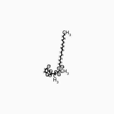 CCCCCCCCC=CCCCCCCCC(=O)O[C@@H](C)C(=O)O[C@@H](C)C(=O)ON1C(=O)CCC1=O